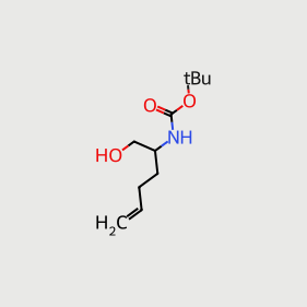 C=CCCC(CO)NC(=O)OC(C)(C)C